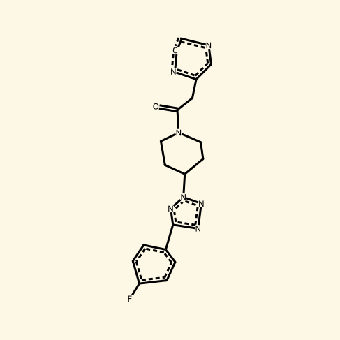 O=C(Cc1cnccn1)N1CCC(n2nnc(-c3ccc(F)cc3)n2)CC1